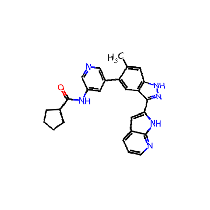 Cc1cc2[nH]nc(-c3cc4cccnc4[nH]3)c2cc1-c1cncc(NC(=O)C2CCCC2)c1